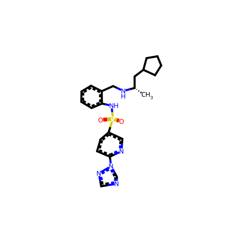 C[C@@H](CC1CCCC1)NCc1ccccc1NS(=O)(=O)c1ccc(-n2cncn2)nc1